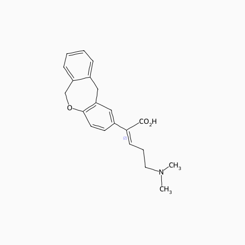 CN(C)CC/C=C(\C(=O)O)c1ccc2c(c1)Cc1ccccc1CO2